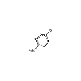 [CH2]Sc1ccc(O)cc1